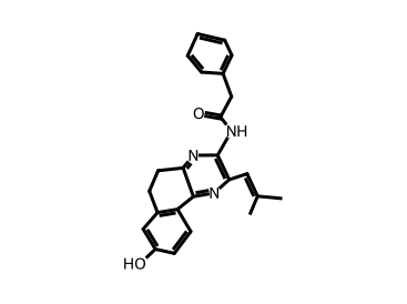 CC(C)=Cc1nc2c(nc1NC(=O)Cc1ccccc1)CCc1cc(O)ccc1-2